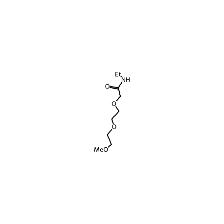 CCNC(=O)COCCOCCOC